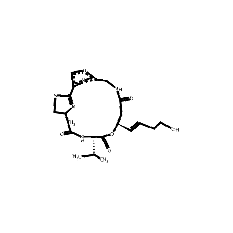 CC(C)[C@@H]1NC(=O)[C@]2(C)CSC(=N2)c2coc(n2)CNC(=O)C[C@@H](/C=C/CCO)OC1=O